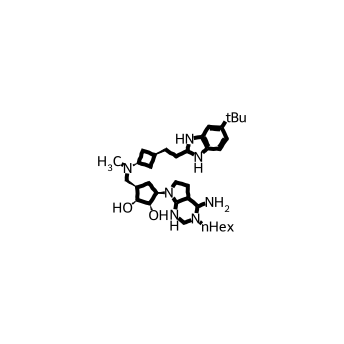 CCCCCCN1CNC2C(CCN2[C@@H]2C[C@H](CN(C)[C@H]3C[C@H](CCC4Nc5ccc(C(C)(C)C)cc5N4)C3)[C@@H](O)[C@H]2O)C1N